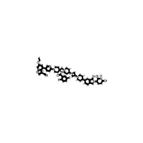 CCOc1cc(-c2ccc(N3CCC(CN4CCC(N5CC(N6CCC(C7C=CC8=C(C7)C(=O)N(C7CCC(=O)NC7=O)C8)CC6)C5)CC4)(NC(=O)c4cc(F)ccc4F)CC3)nc2)c2c(C#N)cnn2c1